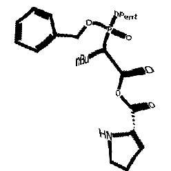 CCCCCP(=O)(OCc1ccccc1)C(CCCC)C(=O)OC(=O)[C@@H]1CCCN1